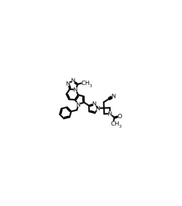 CC(=O)N1CC(CC#N)(n2ccc(-c3cc4c(ccc5nnc(C)n54)n3Cc3ccccc3)n2)C1